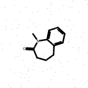 CN1C(=O)CCCc2ccccc21